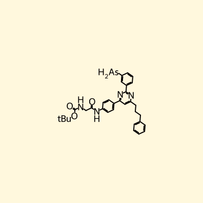 CC(C)(C)OC(=O)NCC(=O)Nc1ccc(-c2cc(CCCc3ccccc3)nc(-c3cccc([AsH2])c3)n2)cc1